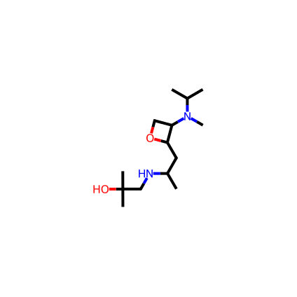 CC(CC1OCC1N(C)C(C)C)NCC(C)(C)O